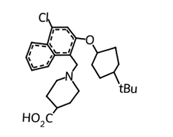 CC(C)(C)C1CCC(Oc2cc(Cl)c3ccccc3c2CN2CCC(C(=O)O)CC2)CC1